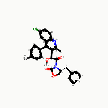 CCO[C@H](C(=O)N1C(=O)OC[C@H]1Cc1ccccc1)c1c(C)nc2ccc(Cl)cc2c1-c1ccc(CC)cc1